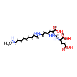 CNCCCCCCCCCNCCCCC(NCNC(CCC(=O)O)C(=O)O)C(=O)O